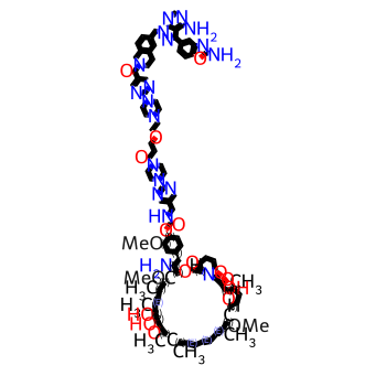 CO[C@H]1C[C@@H]2CC[C@@H](C)[C@@](O)(O2)C(=O)C(=O)N2CCCC[C@H]2C(=O)O[C@H]([C@H](N)C[C@@H]2CC[C@@H](OC(=O)NCc3cnc(N4CCN(C(=O)CCOCCN5CCN(c6ncc(C(=O)N7CCc8cc(Cn9nc(-c%10ccc%11oc(N)nc%11c%10)c%10c(N)ncnc%109)ccc8C7)cn6)CC5)CC4)nc3)[C@H](OC)C2)C[C@@H](OC)[C@H](C)/C=C(\C)[C@@H](O)[C@@H](O)C(=O)[C@H](C)C[C@H](C)/C=C/C=C/C=C/1C